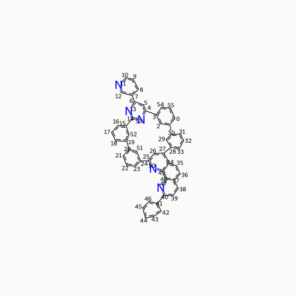 c1ccc(-c2cc(-c3cccnc3)nc(-c3cccc(-c4cccc(-c5cc(-c6ccccc6)c6ccc7ccc(-c8ccccc8)nc7c6n5)c4)c3)n2)cc1